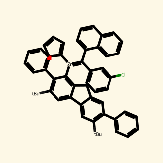 CC(C)(C)c1cc2c(cc1-c1ccccc1)Cc1c-2cc(C(C)(C)C)c(-c2ccccc2)[c]1/[Zr]([C]1=CC=CC1)=[C](\c1cccc(Cl)c1)c1cccc2ccccc12